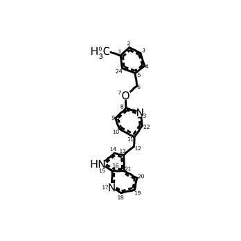 Cc1cccc(COc2ccc(Cc3c[nH]c4ncccc34)cn2)c1